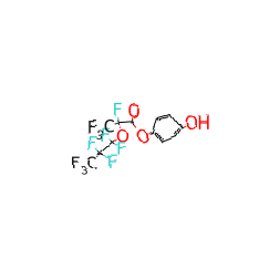 O=C(Oc1ccc(O)cc1)C(F)(OC(F)(F)C(F)(F)C(F)(F)F)C(F)(F)F